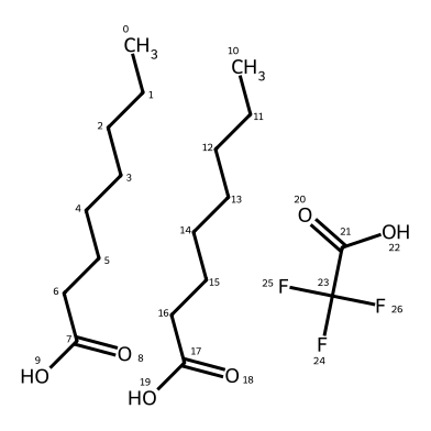 CCCCCCCC(=O)O.CCCCCCCC(=O)O.O=C(O)C(F)(F)F